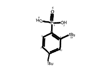 CC(C)(C)c1ccc(P(=O)(O)O)c(C(C)(C)C)c1